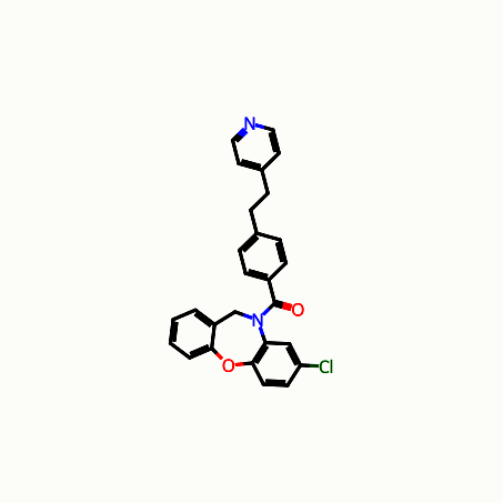 O=C(c1ccc(CCc2ccncc2)cc1)N1Cc2ccccc2Oc2ccc(Cl)cc21